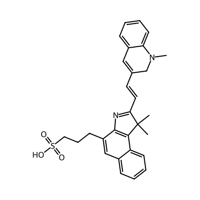 CN1CC(C=CC2=Nc3c(CCCS(=O)(=O)O)cc4ccccc4c3C2(C)C)=Cc2ccccc21